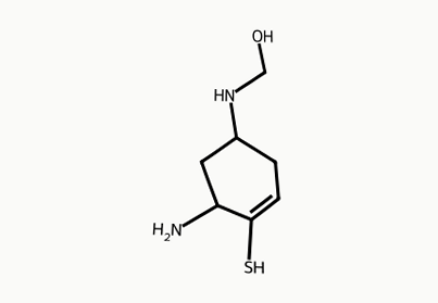 NC1CC(NCO)CC=C1S